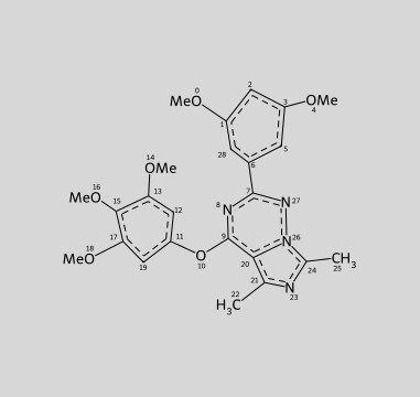 COc1cc(OC)cc(-c2nc(Oc3cc(OC)c(OC)c(OC)c3)c3c(C)nc(C)n3n2)c1